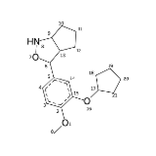 COc1ccc(C2ONC3CCCC32)cc1OC1CCCC1